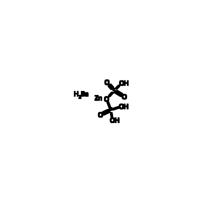 O=P(O)(O)OS(=O)(=O)O.[BaH2].[Zn]